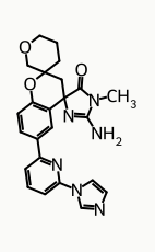 CN1C(=O)C2(CC3(CCCOC3)Oc3ccc(-c4cccc(-n5ccnc5)n4)cc32)N=C1N